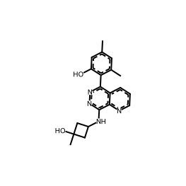 Cc1cc(C)c(-c2nnc(NC3CC(C)(O)C3)c3ncccc23)c(O)c1